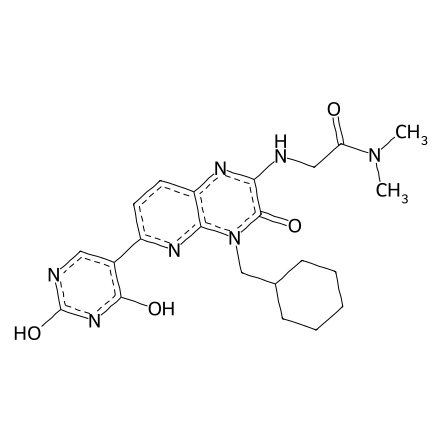 CN(C)C(=O)CNc1nc2ccc(-c3cnc(O)nc3O)nc2n(CC2CCCCC2)c1=O